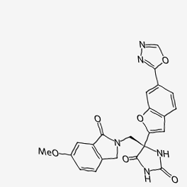 COc1ccc2c(c1)C(=O)N(C[C@@]1(c3cc4ccc(-c5nnco5)cc4o3)NC(=O)NC1=O)C2